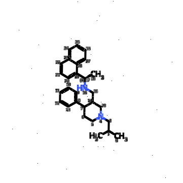 CC(C)CN1CCC(c2ccccc2)C(CN[C@H](C)c2cccc3ccccc23)C1